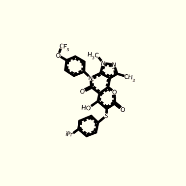 Cc1nn(C)c2c1c1oc(=O)c(Sc3ccc(C(C)C)cc3)c(O)c1c(=O)n2-c1ccc(OC(F)(F)F)cc1